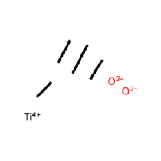 CC.CC.CC.CC.[O-2].[O-2].[Ti+4]